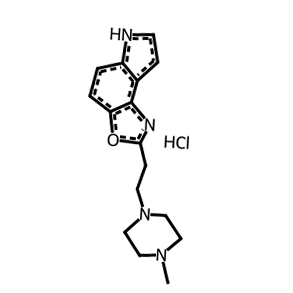 CN1CCN(CCc2nc3c(ccc4[nH]ccc43)o2)CC1.Cl